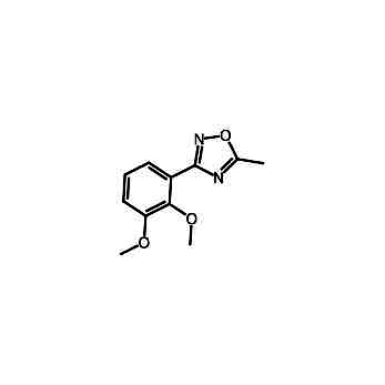 COc1cccc(-c2noc(C)n2)c1OC